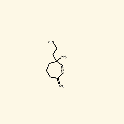 C=C1C=CC(N)(CCN)CCC1